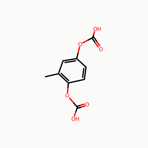 Cc1cc(OC(=O)O)ccc1OC(=O)O